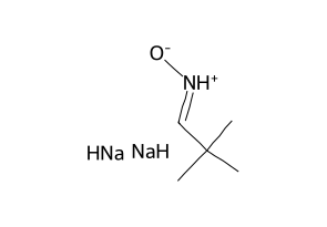 CC(C)(C)C=[NH+][O-].[NaH].[NaH]